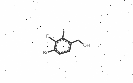 OCc1ccc(Br)c(F)c1Cl